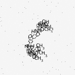 COC(=O)N[C@H](C(=O)N1[C@@H](C)CC[C@H]1c1ncc(-c2ccc3c(c2)COc2cc4c(ccc5nc([C@@H]6CC[C@H](C)N6C(=O)[C@@H](NC(=O)O)C(C)C)[nH]c54)cc2-3)[nH]1)C1C[C@@H](C)O[C@H](C)C1